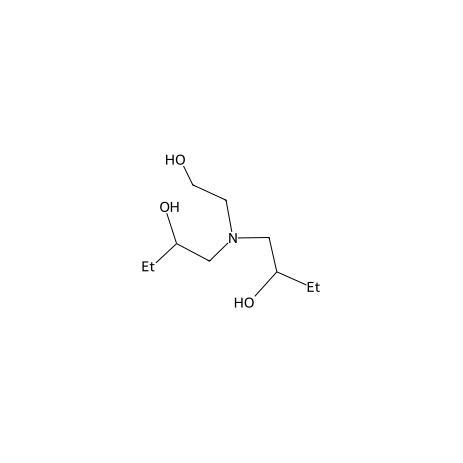 CCC(O)CN(CCO)CC(O)CC